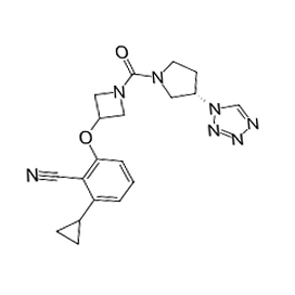 N#Cc1c(OC2CN(C(=O)N3CC[C@H](n4cnnn4)C3)C2)cccc1C1CC1